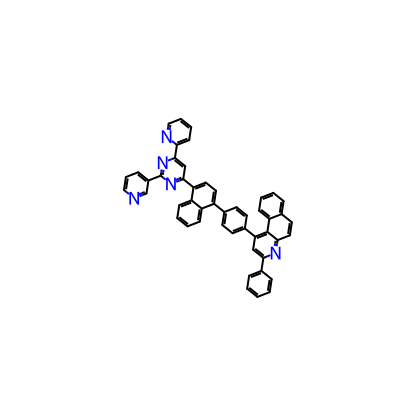 c1ccc(-c2cc(-c3ccc(-c4ccc(-c5cc(-c6ccccn6)nc(-c6cccnc6)n5)c5ccccc45)cc3)c3c(ccc4ccccc43)n2)cc1